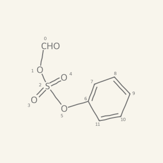 O=COS(=O)(=O)Oc1ccccc1